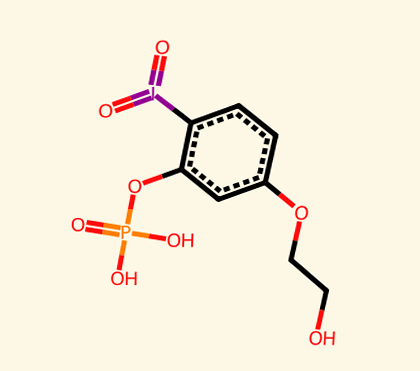 O=I(=O)c1ccc(OCCO)cc1OP(=O)(O)O